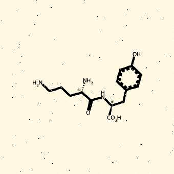 NCCC[C@H](N)C(=O)N[C@@H](Cc1ccc(O)cc1)C(=O)O